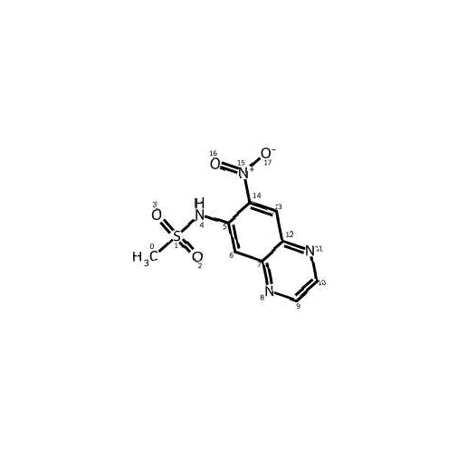 CS(=O)(=O)Nc1cc2nccnc2cc1[N+](=O)[O-]